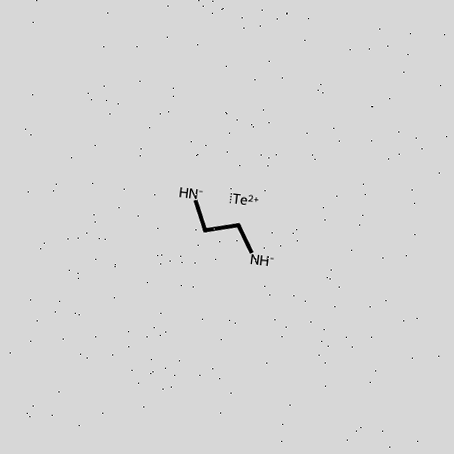 [NH-]CC[NH-].[Te+2]